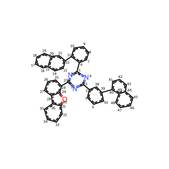 c1cc(-c2nc(-c3ccccc3-c3ccc4ccccc4c3)nc(-c3cccc4c3oc3ccccc34)n2)cc(-c2cccc3ccccc23)c1